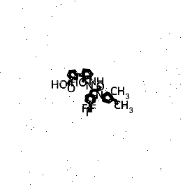 CCc1ccc(N2C(=O)/C(=N\Nc3cccc(-c4cccc(C(=O)O)c4)c3O)c3ccc(C(F)(F)F)cc32)cc1C